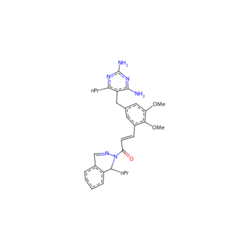 CCCc1nc(N)nc(N)c1Cc1cc(C=CC(=O)N2N=Cc3ccccc3C2CCC)c(OC)c(OC)c1